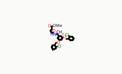 C=C(Nc1ccc(C(=O)OC)o1)c1cc(OCc2ccccc2Cl)cc(OCc2ccccc2Cl)c1